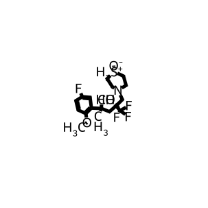 COc1ccc(F)cc1C(C)(C)CC(O)(CN1CC[SH2+]([O-])CC1)C(F)(F)F